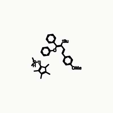 CC1=C(C)C(C)[C]([Ti][SiH](C)C)=C1C.COc1ccc(C=CC(=C(Oc2ccccc2)c2ccccc2)C(C)(C)C)cc1